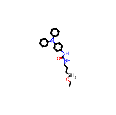 CCO[SiH2]CCCNC(=O)Nc1ccc(N(c2ccccc2)c2ccccc2)cc1